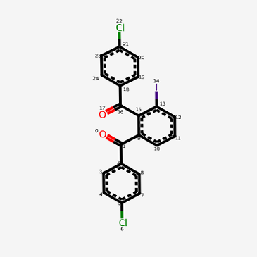 O=C(c1ccc(Cl)cc1)c1cccc(I)c1C(=O)c1ccc(Cl)cc1